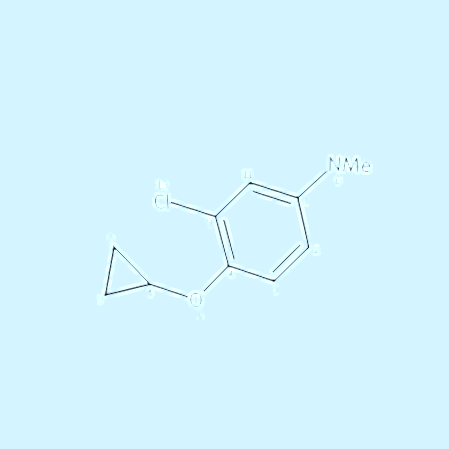 CNc1ccc(OC2CC2)c(Cl)c1